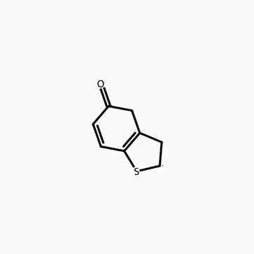 O=C1C=CC2=C(C[CH]S2)C1